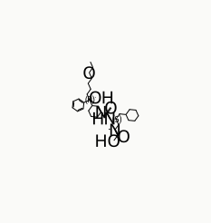 CCOCCCC[C@](O)(c1ccccc1)C1CCCN(C(=O)N[C@@H](CC2CCCCC2)CN(C)C(=O)O)C1